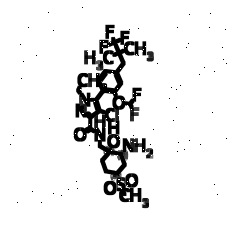 CCn1nc(C(=O)NC[C@]2(O)CC[C@@H](S(C)(=O)=O)C[C@H]2N)c(Cl)c1-c1ccc(CC(C)(C)C(F)(F)F)cc1OC(F)F